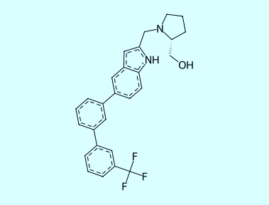 OC[C@H]1CCCN1Cc1cc2cc(-c3cccc(-c4cccc(C(F)(F)F)c4)c3)ccc2[nH]1